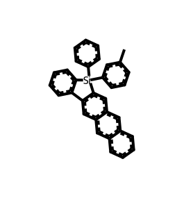 Cc1cccc([Si]2(c3ccccc3)c3ccccc3-c3cc4cc5ccccc5cc4cc32)c1